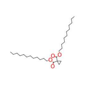 CCCCCCCCCCCCOC(=O)C1(C(=O)OCCCCCCCCCCCC)CC1